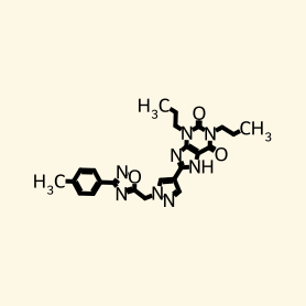 CCCn1c(=O)c2[nH]c(-c3cnn(Cc4nc(-c5ccc(C)cc5)no4)c3)nc2n(CCC)c1=O